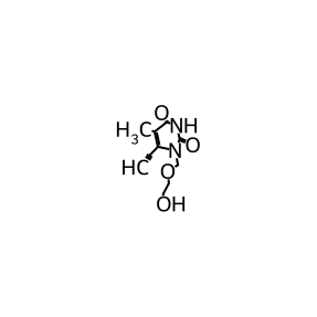 C#Cc1c(C)c(=O)[nH]c(=O)n1COCCO